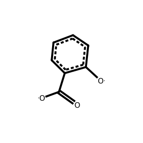 [O]C(=O)c1ccccc1[O]